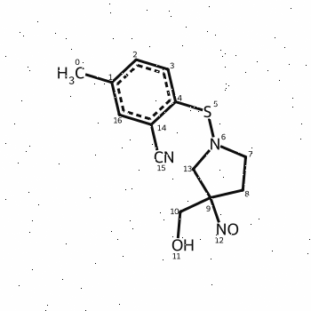 Cc1ccc(SN2CCC(CO)(N=O)C2)c(C#N)c1